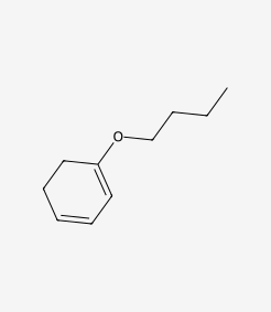 CCCCOC1=CC=CCC1